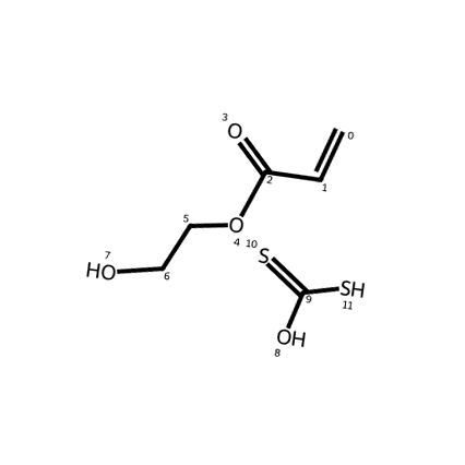 C=CC(=O)OCCO.OC(=S)S